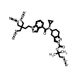 CC(C)(CN=[N+]=[N-])OC(=O)n1cc2c(n1)CCC(N(C(=O)c1cccc3c1cnn3CCC(CN=[N+]=[N-])(CN=[N+]=[N-])CN=[N+]=[N-])C1CC1)C2